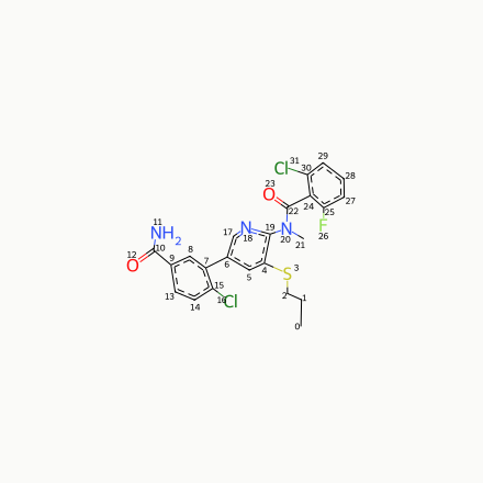 CCCSc1cc(-c2cc(C(N)=O)ccc2Cl)cnc1N(C)C(=O)c1c(F)cccc1Cl